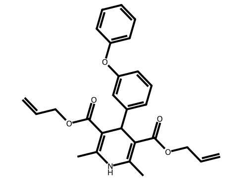 C=CCOC(=O)C1=C(C)NC(C)=C(C(=O)OCC=C)C1c1cccc(Oc2ccccc2)c1